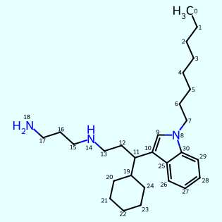 CCCCCCCCn1cc(C(CCNCCCN)C2CCCCC2)c2ccccc21